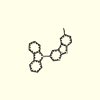 Cc1ccc2oc3ncc(-n4c5ccccc5c5ccccc54)cc3c2c1